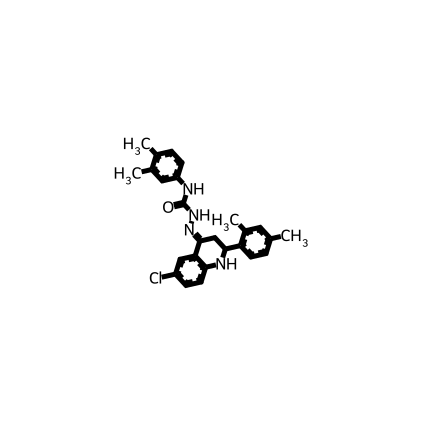 Cc1ccc(C2CC(=NNC(=O)Nc3ccc(C)c(C)c3)c3cc(Cl)ccc3N2)c(C)c1